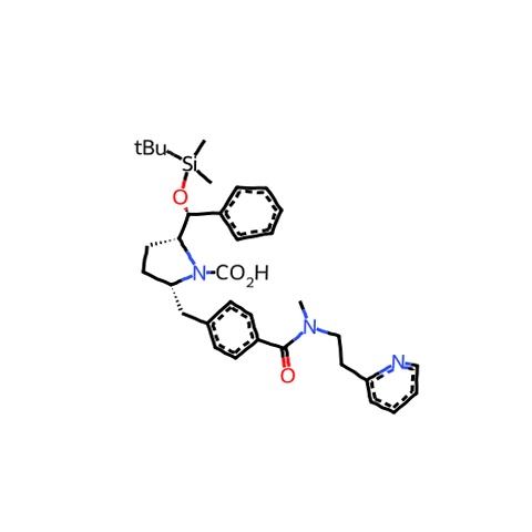 CN(CCc1ccccn1)C(=O)c1ccc(C[C@@H]2CC[C@H]([C@H](O[Si](C)(C)C(C)(C)C)c3ccccc3)N2C(=O)O)cc1